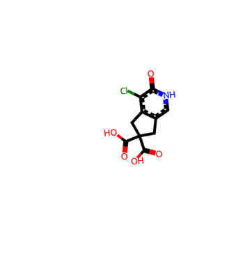 O=C(O)C1(C(=O)O)Cc2c[nH]c(=O)c(Cl)c2C1